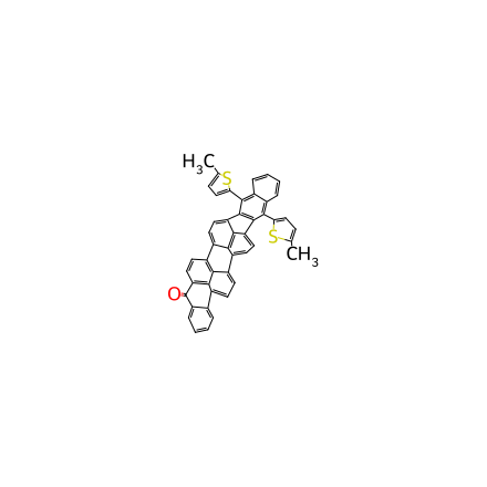 Cc1ccc(-c2c3c(c(-c4ccc(C)s4)c4ccccc24)-c2ccc4c5ccc6c7c(ccc(c8ccc-3c2c84)c75)C(=O)c2ccccc2-6)s1